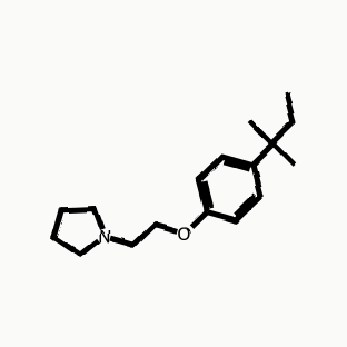 CCC(C)(C)c1ccc(OCCN2CCCC2)cc1